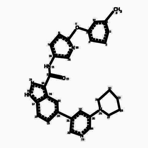 Cc1cccc(Oc2ccc(NC(=O)c3n[nH]c4ccc(-c5cncc(N6CCCCC6)c5)cc34)cn2)c1